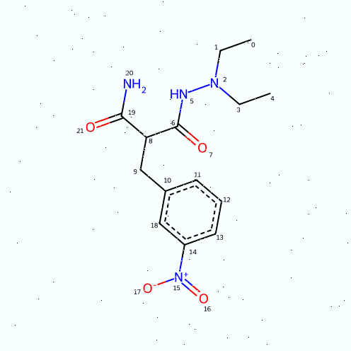 CCN(CC)NC(=O)C(Cc1cccc([N+](=O)[O-])c1)C(N)=O